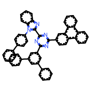 c1ccc(-c2ccc(-n3c(-c4nc(-c5cc(-c6ccccc6)cc(-c6ccccc6)c5)nc(-c5ccc6c7ccccc7c7ccccc7c6c5)n4)nc4ccccc43)cc2)cc1